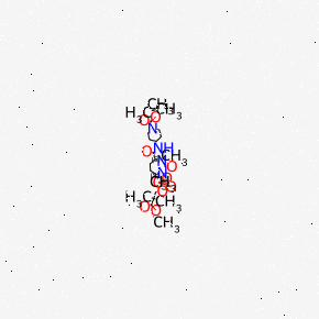 CCOC(=O)C(C)(C)COS(=O)(=O)ON1C(=O)N(C)[C@H](C(=O)NC2CCN(C(=O)OC(C)(C)C)CC2)CC[C@@H]1C